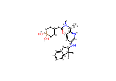 CN(C(=O)CC1CCS(O)(O)CC1)[C@@H](c1ccc(NC2Cc3ccccc3C2(C)C)cn1)C(F)(F)F